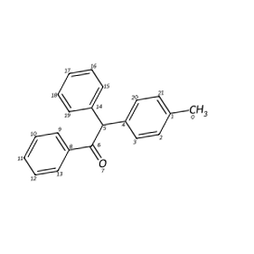 Cc1ccc(C(C(=O)c2ccccc2)c2ccccc2)cc1